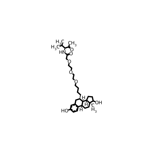 CC(=O)[C@@H](NC(=O)COCCOCCOCCCC[C@@H]1Cc2cc(O)ccc2[C@H]2CC[C@]3(C)C(O)CC[C@H]3[C@H]12)C(C)C